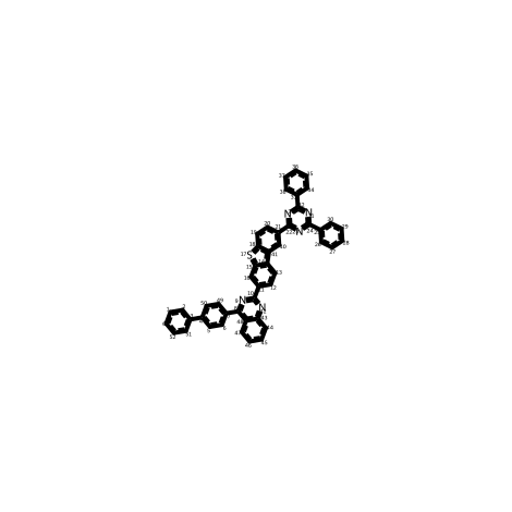 c1ccc(-c2ccc(-c3nc(-c4ccc5c(c4)sc4ccc(-c6nc(-c7ccccc7)nc(-c7ccccc7)n6)cc45)nc4ccccc34)cc2)cc1